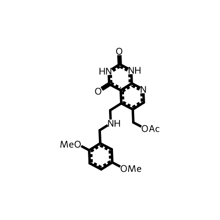 COc1ccc(OC)c(CNCc2c(COC(C)=O)cnc3[nH]c(=O)[nH]c(=O)c23)c1